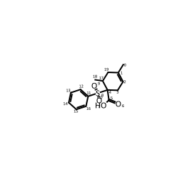 CC1=CCC(C(=O)O)(S(=O)(=O)c2ccccc2)C(C)C1